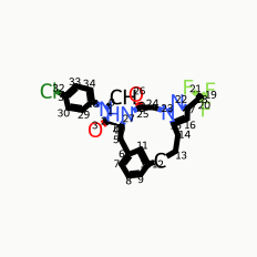 CN(C(=O)[C@@H]1Cc2cccc(c2)CCCc2cc(C(F)(F)F)nn2CC(=O)N1)c1ccc(Cl)cc1